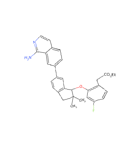 CCOC(=O)Cc1ccc(F)cc1OC1c2cc(-c3ccc4ccnc(N)c4c3)ccc2CC1(C)C